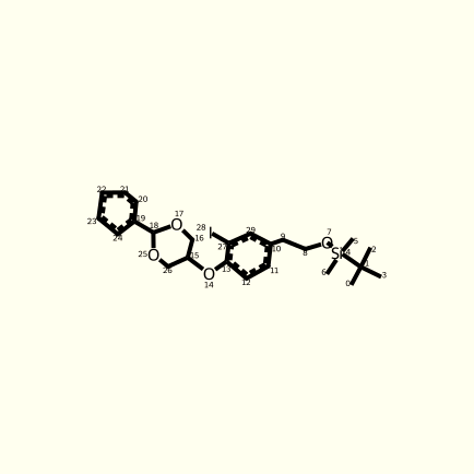 CC(C)(C)[Si](C)(C)OCCc1ccc(OC2COC(c3ccccc3)OC2)c(I)c1